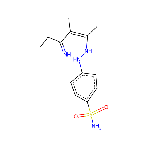 CCC(=N)C(C)=C(C)NNc1ccc(S(N)(=O)=O)cc1